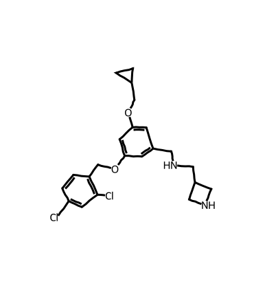 Clc1ccc(COc2cc(CNCC3CNC3)cc(OCC3CC3)c2)c(Cl)c1